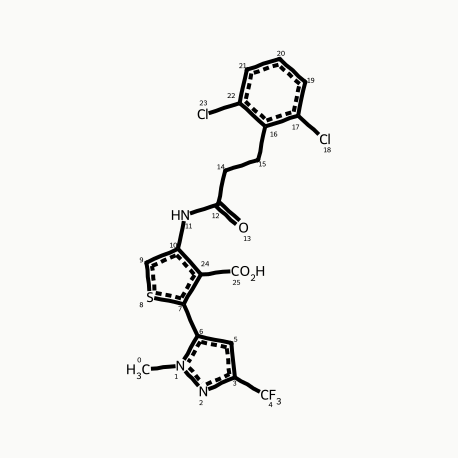 Cn1nc(C(F)(F)F)cc1-c1scc(NC(=O)CCc2c(Cl)cccc2Cl)c1C(=O)O